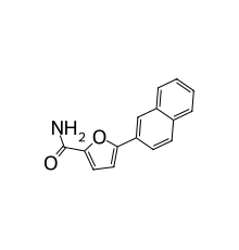 NC(=O)c1ccc(-c2ccc3ccccc3c2)o1